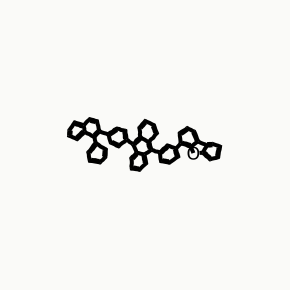 c1ccc(-c2c(-c3ccc(-c4c5ccccc5c(-c5cccc(-c6cccc7c6oc6ccccc67)c5)c5ccccc45)cc3)ccc3ccccc23)cc1